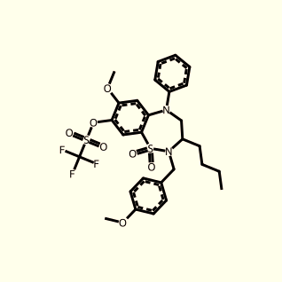 CCCCC1CN(c2ccccc2)c2cc(OC)c(OS(=O)(=O)C(F)(F)F)cc2S(=O)(=O)N1Cc1ccc(OC)cc1